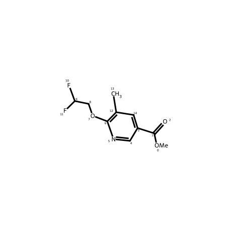 COC(=O)c1cnc(OCC(F)F)c(C)c1